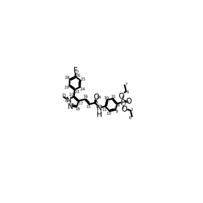 CCOP(=O)(OCC)c1ccc(NC(=O)/C=C/c2cnn(C)c2-c2ccc(F)cc2)cc1